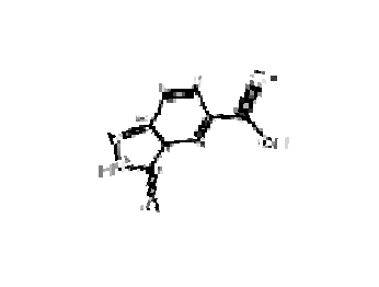 O=C(O)C1=CC2C(=O)NN=C2C=C1